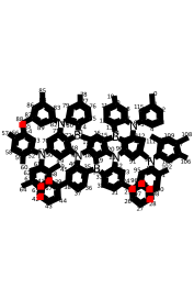 Cc1cccc(N2c3cc(C)ccc3B3c4cc5c6c7c4N(c4cc(-c8ccccc8)ccc4B7c4ccc(-c7ccccc7)cc4N6c4cc(N(c6cc(C)c(C)cc6C)c6cc(C)c(C)cc6C)cc6c4B5c4ccc(C)cc4N6c4cc(C)cc(C)c4)c4cc(N(c5cc(C)c(C)cc5C)c5cc(C)c(C)cc5C)cc2c43)c1